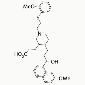 COc1ccc2nccc([C@@H](O)CCC3CCN(CCSc4ccccc4OC)CC3CCC(=O)O)c2c1